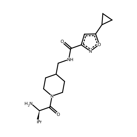 CC(C)[C@@H](N)C(=O)N1CCC(CNC(=O)c2cc(C3CC3)on2)CC1